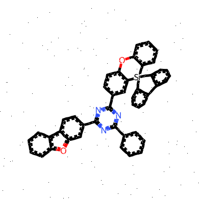 c1ccc(-c2nc(-c3ccc4c(c3)[Si]3(c5ccccc5O4)c4ccccc4-c4ccccc43)nc(-c3ccc4c(c3)oc3ccccc34)n2)cc1